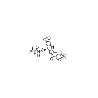 CC[C@@]1(O)C(=O)OCc2c1cc1n(c2=O)Cc2c-1nc1cc3c(cc1c2C12CC(NC(=O)C(F)(F)F)(C1)C2)OCO3